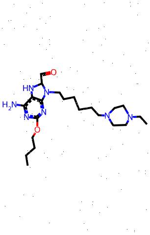 CCCCOc1nc(N)c2c(n1)N(CCCCCCN1CCN(CC)CC1)C(C=O)N2